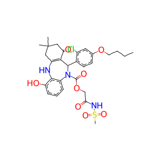 CCCCOc1ccc(C2C3=C(CC(C)(C)CC3=O)Nc3c(O)cccc3N2C(=O)OCC(=O)NS(C)(=O)=O)c(Cl)c1